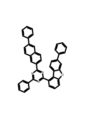 c1ccc(-c2ccc3cc(-c4nc(-c5ccccc5)nc(-c5cccc6oc7cc(-c8ccccc8)ccc7c56)n4)ccc3c2)cc1